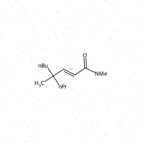 CCCCC(C)(/C=C/C(=O)NC)CCC